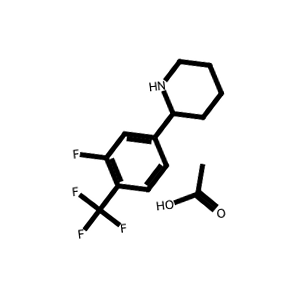 CC(=O)O.Fc1cc(C2CCCCN2)ccc1C(F)(F)F